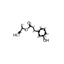 C#CC(I)OC(=O)CCc1cccc(O)c1